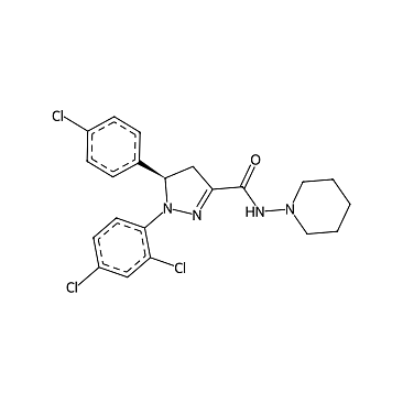 O=C(NN1CCCCC1)C1=NN(c2ccc(Cl)cc2Cl)[C@@H](c2ccc(Cl)cc2)C1